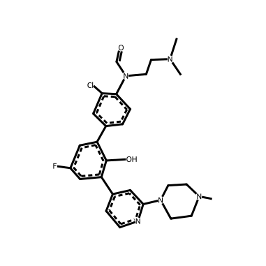 CN(C)CCN(C=O)c1ccc(-c2cc(F)cc(-c3ccnc(N4CCN(C)CC4)c3)c2O)cc1Cl